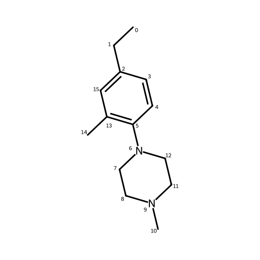 CCc1ccc(N2CCN(C)CC2)c(C)c1